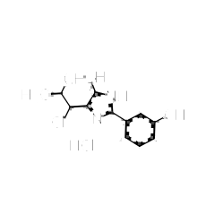 Cc1cccc(-c2nc(C(Cl)C(C)C)c(C)[nH]2)c1.Cl